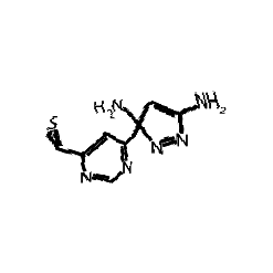 NC1=CC(N)(c2cc(C=S)ncn2)N=N1